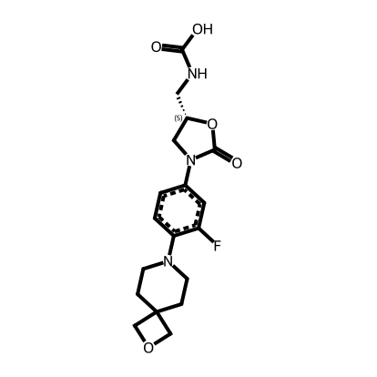 O=C(O)NC[C@H]1CN(c2ccc(N3CCC4(CC3)COC4)c(F)c2)C(=O)O1